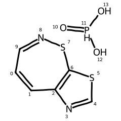 C1=Cc2ncsc2SN=C1.O=[PH](O)O